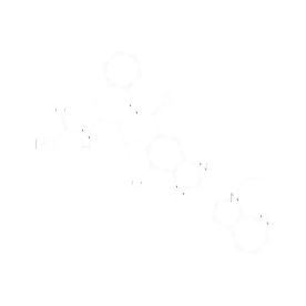 CCn1c(-c2nc3cc(C(=O)N4c5ccccc5CC(NC(=O)O)C4C(C)(C)C)cc(OC)c3n2C)cc2cccnc21